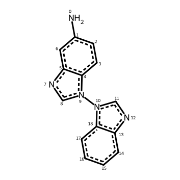 Nc1ccc2c(c1)ncn2-n1cnc2ccccc21